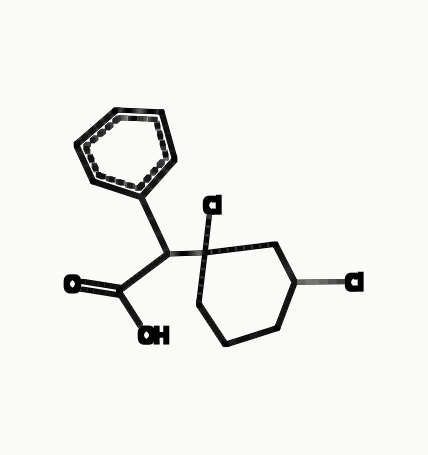 O=C(O)C(c1ccccc1)C1(Cl)CCCC(Cl)C1